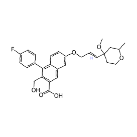 COC1(/C=C/COc2ccc3c(-c4ccc(F)cc4)c(CO)c(C(=O)O)cc3c2)CCOC(C)C1